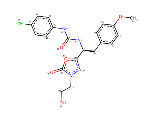 COc1ccc(C[C@H](NC(=O)Nc2ccc(Cl)cc2)c2nn(CCO)c(=O)o2)cc1